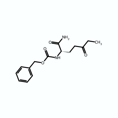 CCC(=O)CC[C@H](NC(=O)OCc1ccccc1)C(N)=O